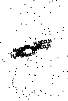 CCCCCNc1nc(N)nc2ccn(Cc3ccc(CN4CCN(CCN5C=C(CNC(=O)C[C@H](SC[C@H](N)C(=O)O)C(=O)O)NN5)CC4)cc3OC)c12